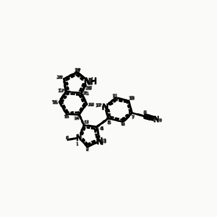 Cn1cnc(-c2cc(C#N)ccn2)c1-c1ccc2cc[nH]c2c1